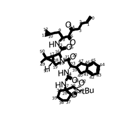 C=CCCC(=O)C(=O)C(CC1CC1)NC(=O)[C@@H]1C2[C@H](CN1C(=O)[C@@H](NC(=O)NC1(CS(=O)(=O)C(C)(C)C)CCCCC1)C1Cc3ccccc3C1)C2(C)C